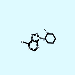 C[C@@H]1CCCC[C@H]1n1nnc2c(Cl)ncnc21